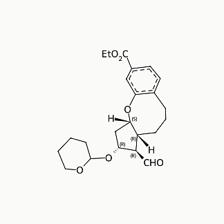 CCOC(=O)c1ccc2c(c1)O[C@H]1C[C@@H](OC3CCCCO3)[C@H](C=O)[C@H]1CCC2